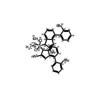 CCCC1=Cc2c(-c3ccccc3C(C)(C)C)cccc2[CH]1[Zr]([Cl])([Cl])([CH]1C(CCC)=Cc2c(-c3ccccc3C(C)(C)C)cccc21)[SiH](C)C